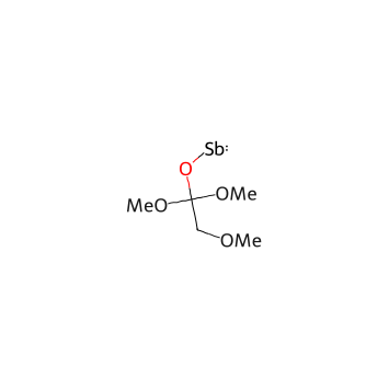 COCC(OC)(OC)[O][Sb]